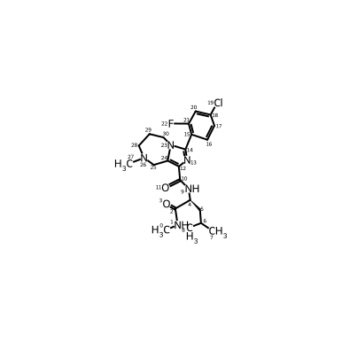 CNC(=O)[C@H](CC(C)C)NC(=O)c1nc(-c2ccc(Cl)cc2F)n2c1CN(C)CCC2